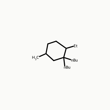 CCCCC1(CCCC)CC(C)CCC1CC